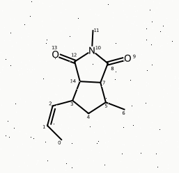 C/C=C\C1CC(C)C2C(=O)N(C)C(=O)C12